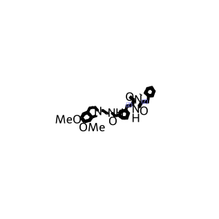 COc1cc2c(cc1OC)CN(CCNC(=O)c1cccc(/C=c3\[nH]c(=O)/c(=C/c4ccccc4)n(C)c3=O)c1)CC2